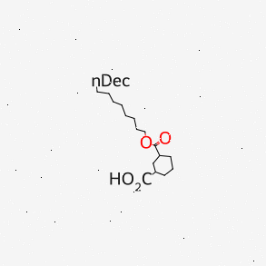 CCCCCCCCCCCCCCCCCCOC(=O)C1CCCC(C(=O)O)C1